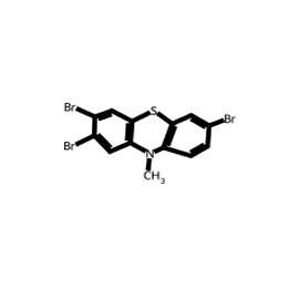 CN1c2ccc(Br)cc2Sc2cc(Br)c(Br)cc21